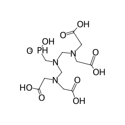 O=C(O)CN(CC(=O)O)CN(CN(CC(=O)O)CC(=O)O)C[PH](=O)O